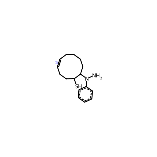 NN(c1ccccc1)C1CCCC/C=C\CCC1S